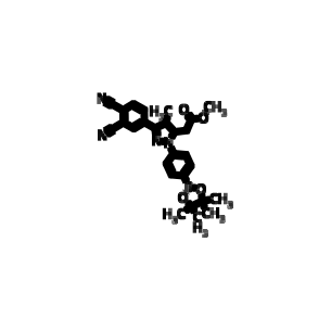 COC(=O)CC1C(C)C(c2ccc(C#N)c(C#N)c2)=NN1c1ccc(B2OC(C)(C)C(C)(C)O2)cc1